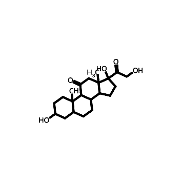 CC12CCC(O)CC1CCC1C2C(=O)CC2(C)C1CCC2(O)C(=O)CO